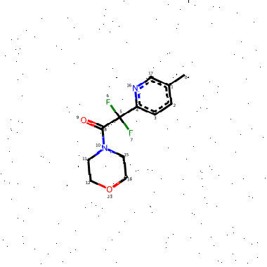 Cc1ccc(C(F)(F)C(=O)N2CCOCC2)nc1